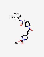 CC(=O)NCC(CNC(=O)[C@@H]1CCCN(C(=O)CCC2CCN(C(=O)OC(C)(C)C)CC2)C1)C(=O)O